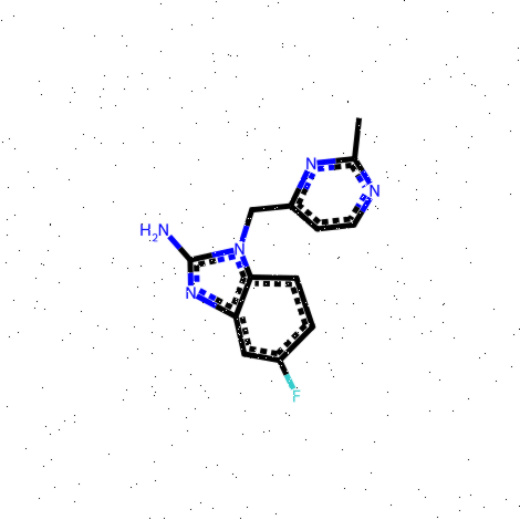 Cc1nccc(Cn2c(N)nc3cc(F)ccc32)n1